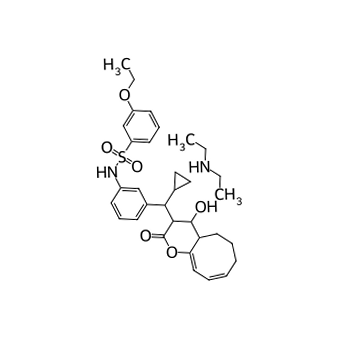 CCNCC.CCOc1cccc(S(=O)(=O)Nc2cccc(C(C3CC3)C3C(=O)OC4=CC=CCCCC4C3O)c2)c1